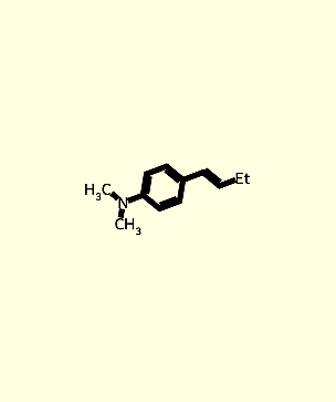 CCC=Cc1ccc(N(C)C)cc1